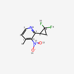 Cc1ccnc(C2CC2(F)F)c1[N+](=O)[O-]